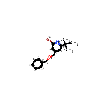 CC(C)(C)c1cc(COCc2ccccc2)cc(Br)n1